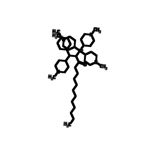 CCCCCCCCCCCC(=O)C(C(C1CCN(C)CC1)C1CCN(C)CC1)[N+](C1CCN(C)CC1)(C1CCN(C)CC1)C1CCN(C)CC1